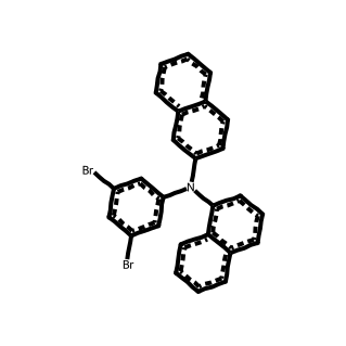 Brc1cc(Br)cc(N(c2ccc3ccccc3c2)c2cccc3ccccc23)c1